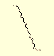 CCCCOCCOCCOCCOCCOCCOCCC